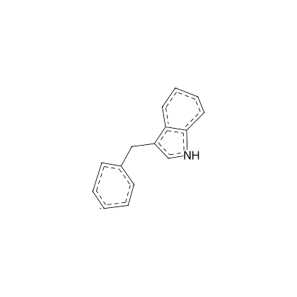 [c]1ccc(Cc2c[nH]c3ccccc23)cc1